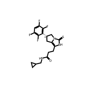 O=C(CCc1[nH]c(=S)n2c1C[C@H](c1c(F)c(F)cc(F)c1F)C2)NCC1CC1